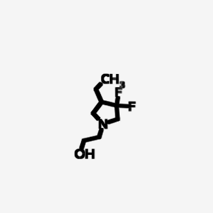 CCC1CN(CCO)CC1(F)F